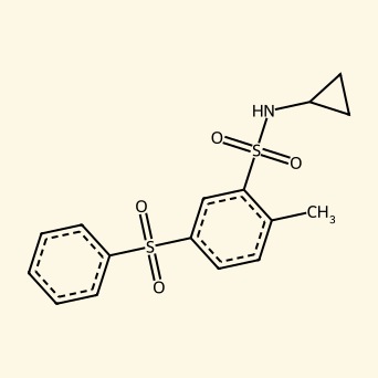 Cc1ccc(S(=O)(=O)c2ccccc2)cc1S(=O)(=O)NC1CC1